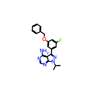 CC(C)n1nc(-c2cc(F)cc(OCc3ccccc3)c2)c2c(N)ncnc21